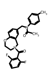 CC(=O)N(Cc1ccc2c(c1)CN(C(=O)c1c(F)cccc1F)CCO2)c1ccc(C)cc1